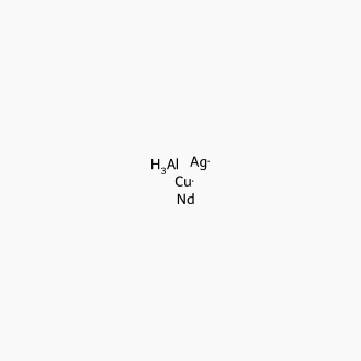 [Ag].[AlH3].[Cu].[Nd]